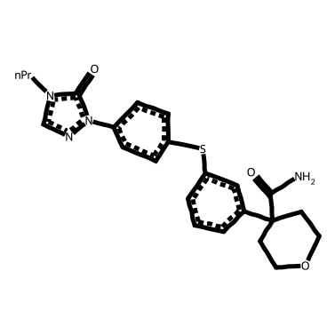 CCCn1cnn(-c2ccc(Sc3cccc(C4(C(N)=O)CCOCC4)c3)cc2)c1=O